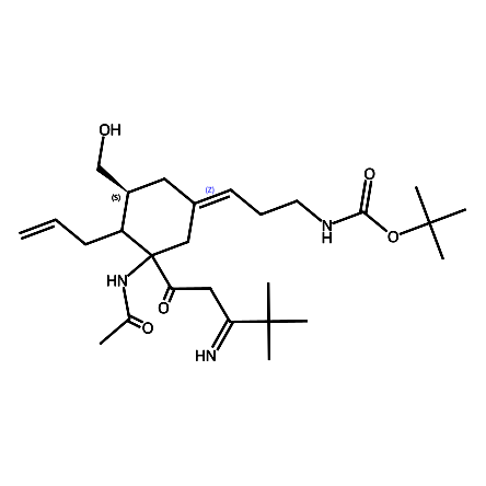 C=CCC1[C@@H](CO)C/C(=C/CCNC(=O)OC(C)(C)C)CC1(NC(C)=O)C(=O)CC(=N)C(C)(C)C